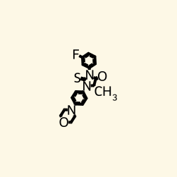 CC1C(=O)N(c2cccc(F)c2)C(=S)N1c1ccc(N2CCOCC2)cc1